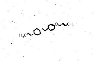 C/C=C/COc1ccc(CC[C@H]2CC[C@H](CCC)CC2)cc1